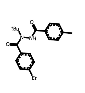 CCc1ccc(C(=O)N(NC(=O)c2ccc(C)cc2)C(C)(C)C)cc1